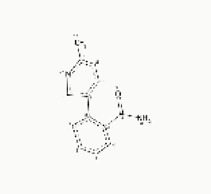 NC(=O)c1ccccc1-c1ccc(C(F)(F)F)nc1